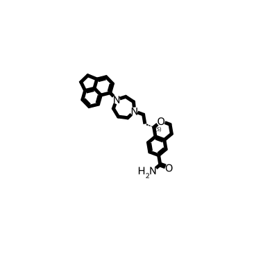 NC(=O)c1ccc2c(c1)CCO[C@H]2CCN1CCCN(c2ccc3c4c(cccc24)CC3)CC1